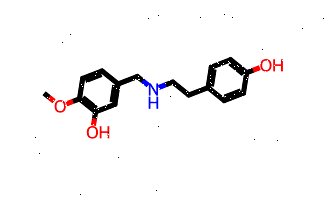 COc1ccc(CNCCc2ccc(O)cc2)cc1O